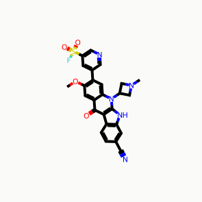 COc1cc2c(=O)c3c4ccc(C#N)cc4[nH]c3n(C3CN(C)C3)c2cc1-c1cncc(S(=O)(=O)F)c1